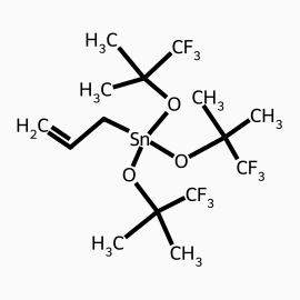 C=C[CH2][Sn]([O]C(C)(C)C(F)(F)F)([O]C(C)(C)C(F)(F)F)[O]C(C)(C)C(F)(F)F